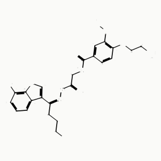 CCCC/C(=N/NC(=O)CNC(=O)c1ccc(OCCO)c(OC)c1)c1csc2c(F)cccc12